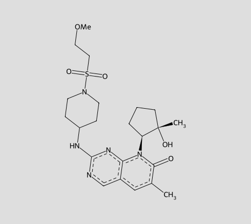 COCCS(=O)(=O)N1CCC(Nc2ncc3cc(C)c(=O)n([C@H]4CCC[C@]4(C)O)c3n2)CC1